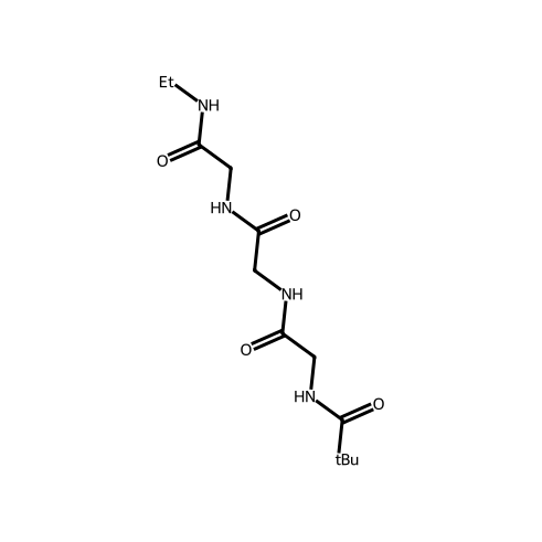 CCNC(=O)CNC(=O)CNC(=O)CNC(=O)C(C)(C)C